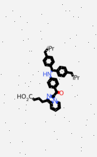 CC(C)Cc1ccc(C(Nc2ccc(C(=O)c3nc(CCCC(=O)O)c4ccccn34)cc2)c2ccc(CC(C)C)cc2)cc1